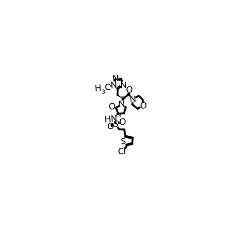 Cn1ncnc1C[C@@H](C(=O)N1CCOCC1)N1CC[C@H](NS(=O)(=O)CCc2ccc(Cl)s2)C1=O